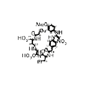 COc1ccc(N/C(=C/[N+](=O)[O-])Nc2ccc(CC(=O)NC(CC(C)C)C(=O)NC(CNCCC(NC(=O)CC(C)(C)C)C(=O)O)C(=O)O)cc2)cc1